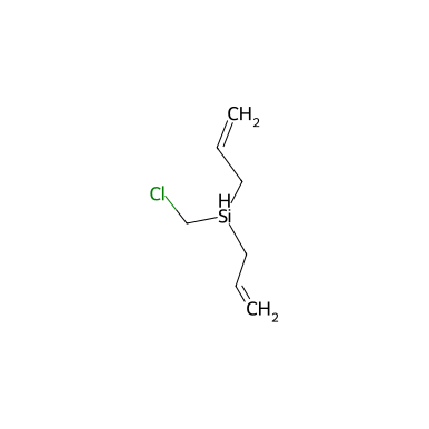 C=CC[SiH](CCl)CC=C